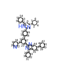 C1=C(c2ccccc2)N=C(c2ccc(-c3cc(-c4cccnc4)cc(-c4nc(-c5ccccc5)c5ccc(-c6ccccc6)cc5n4)c3)cc2)NC1c1ccccc1